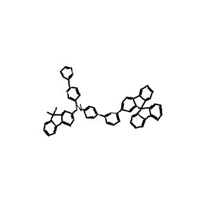 CC1(C)c2ccccc2-c2ccc(N(c3ccc(-c4ccccc4)cc3)c3ccc(-c4cccc(-c5ccc6c(c5)C5(c7ccccc7-c7ccccc75)c5ccccc5-6)c4)cc3)cc21